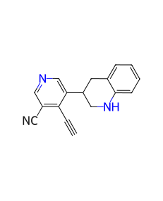 C#Cc1c(C#N)cncc1C1CNc2ccccc2C1